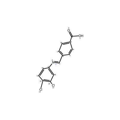 O=C(O)c1ccc(/C=N/c2ccc(Cl)c(Cl)c2)cc1